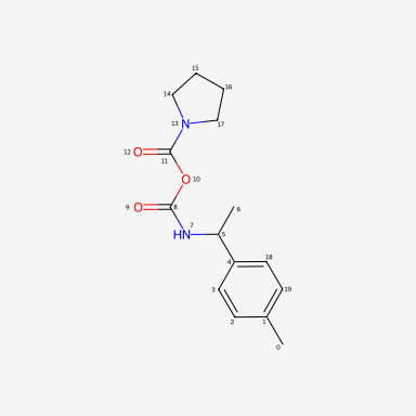 Cc1ccc(C(C)NC(=O)OC(=O)N2CCCC2)cc1